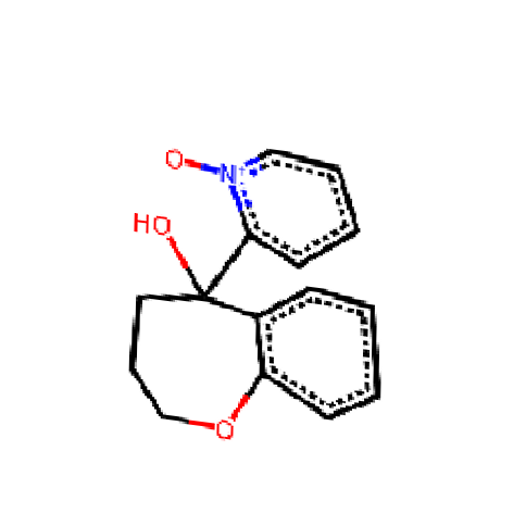 [O-][n+]1ccccc1C1(O)CCCOc2ccccc21